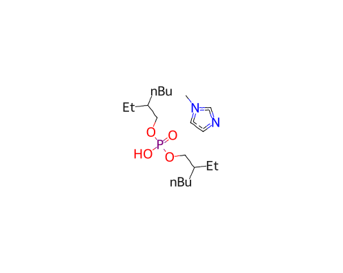 CCCCC(CC)COP(=O)(O)OCC(CC)CCCC.Cn1ccnc1